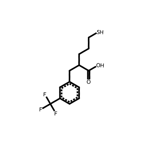 O=C(O)C(CCCS)Cc1cccc(C(F)(F)F)c1